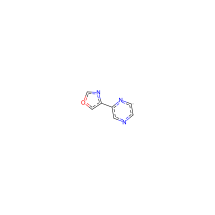 [c]1cncc(-c2cocn2)n1